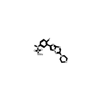 CNS(=O)(=O)N(C)c1ccc(F)c(-c2cn3nc(N4CCOCC4)cnc3n2)c1